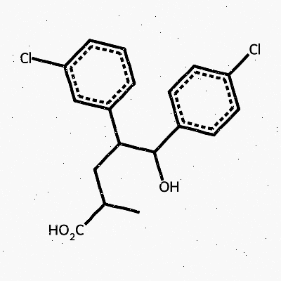 CC(CC(c1cccc(Cl)c1)C(O)c1ccc(Cl)cc1)C(=O)O